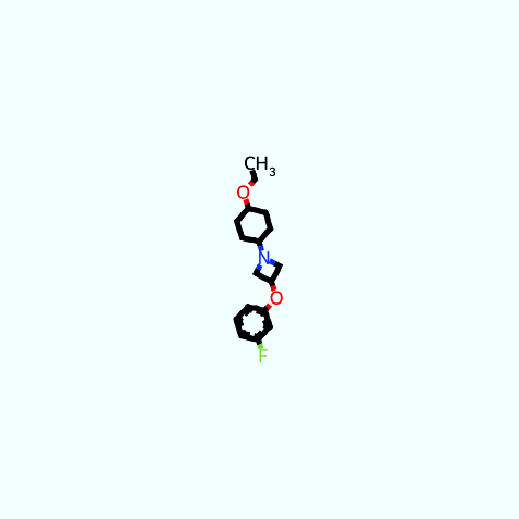 CCOC1CCC(N2CC(Oc3cccc(F)c3)C2)CC1